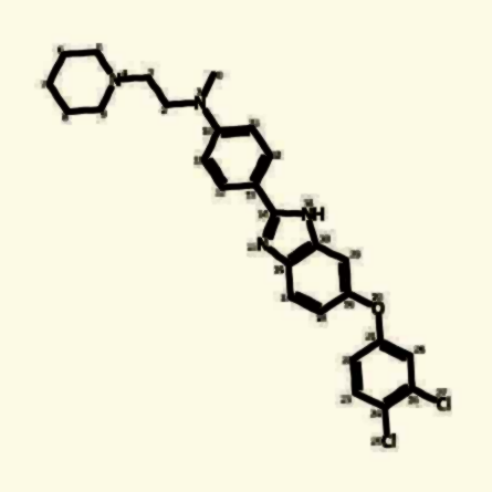 CN(CCN1CCCCC1)c1ccc(-c2nc3ccc(Oc4ccc(Cl)c(Cl)c4)cc3[nH]2)cc1